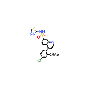 COc1cc(Cl)ccc1-c1ccnc2cc(S(=O)(=O)Nc3nncs3)ccc12